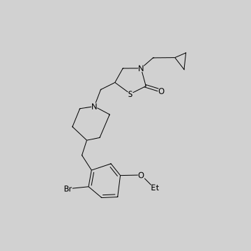 CCOc1ccc(Br)c(CC2CCN(CC3CN(CC4CC4)C(=O)S3)CC2)c1